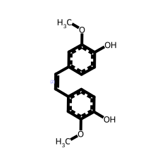 COc1cc(/C=C\c2ccc(O)c(OC)c2)ccc1O